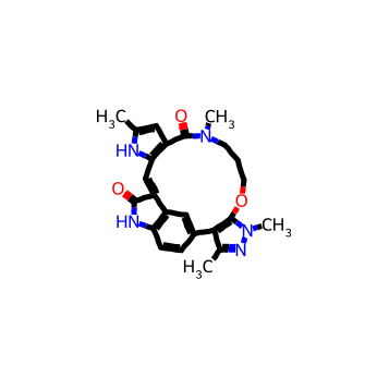 Cc1cc2c([nH]1)/C=C1\C(=O)Nc3ccc(cc31)-c1c(C)nn(C)c1OCCCN(C)C2=O